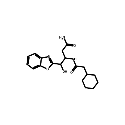 NC(=O)CC(NC(=O)[CH]C1CCCCC1)C(O)c1nc2ccccc2o1